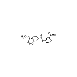 COC(=O)c1ccc(NSc2cccc(C(=O)O)c2)cc1O